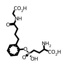 NC(CCP(=O)(O)Oc1ccccc1CCCC(=O)NCC(=O)O)C(=O)O